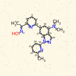 CC(=NO)c1cccc(-c2cc(N(C)C)c3cnn(-c4cccc(C)n4)c3c2)n1